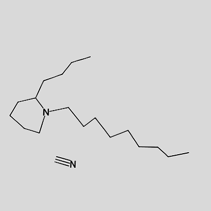 C#N.CCCCCCCCCN1CCCCC1CCCC